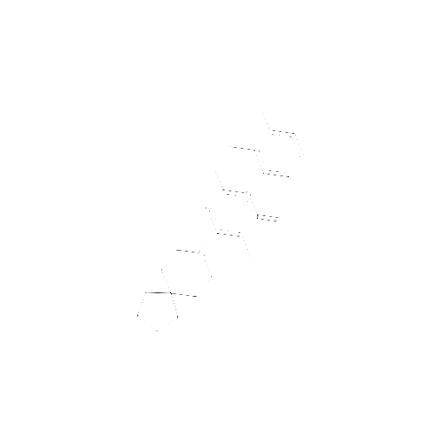 Cc1c(N2CCC3(CCC[C@@H]3C)CC2)nc(C)n(-c2cccc(Cl)c2Cl)c1=O